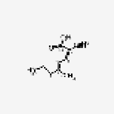 CCCC(C)=CC=C(C#N)C(=O)O